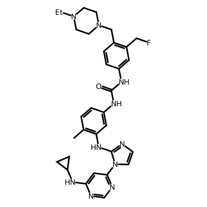 CCN1CCN(Cc2ccc(NC(=O)Nc3ccc(C)c(Nc4nccn4-c4cc(NC5CC5)ncn4)c3)cc2CF)CC1